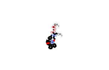 CCCc1nc(CC)c(C(=O)OCOC(=O)OC)n1Cc1ccc(-c2ccccc2-c2nnnn2C(c2ccccc2)(c2ccccc2)c2ccccc2)cc1